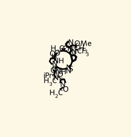 C=CC(=O)N1CC[C@H](C(=O)N(C)[C@H](C(=O)N[C@H]2Cc3nsc(n3)-c3ccc4c(c3)c(c(-c3cccnc3[C@H](C)OC)n4CC(F)(F)F)CC(C)(C)COC(=O)[C@@H]3CCCN(N3)C2=O)C(C)C)C1